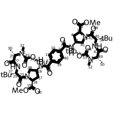 COC(=O)C1C[C@H](NC(=O)c2ccc(C(=O)N[C@H]3C[C@@H](C(=O)OC)N(C(=O)[C@@H](NC(=O)[C@H](C)N(C)C(=O)OC(C)(C)C)C(C)(C)C)C3)cc2)CN1C(=O)[C@@H](NC(=O)[C@H](C)N(C)C(=O)OC(C)(C)C)C(C)(C)C